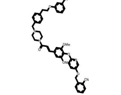 COc1cc(C=CC(=O)N2CCN(Cc3ccc(CCOc4cccc(C(C)C)c4)cc3)CC2)cc(OC)c1Oc1ccc(OCc2ccccc2C#N)cn1